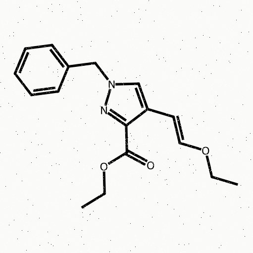 CCO/C=C/c1cn(Cc2ccccc2)nc1C(=O)OCC